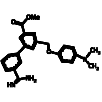 COC(=O)c1cc(COc2ccc(N(C)C)cc2)cc(-c2cccc(C(=N)N)c2)c1